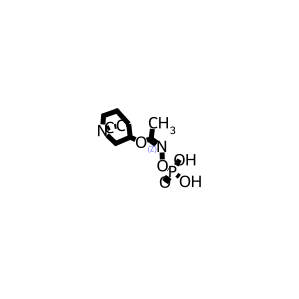 C/C(=N/OP(=O)(O)O)OC1CN2CCC1CC2